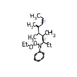 C=C(/C=C\C)C(C)/C(C)=C(/CC)N(OOCC)c1ccccc1